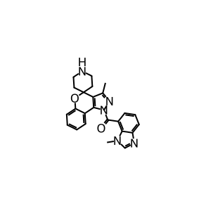 Cc1nn(C(=O)c2cccc3ncn(C)c23)c2c1C1(CCNCC1)Oc1ccccc1-2